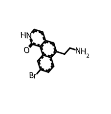 NCCc1cc2cc[nH]c(=O)c2c2cc(Br)ccc12